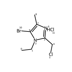 CCn1c(CCl)nc(C)c1Br.Cl